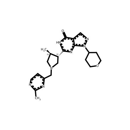 Cc1nccc(CN2C[C@@H](C)[C@H](c3nc4c(cnn4C4CCOCC4)c(=O)[nH]3)C2)n1